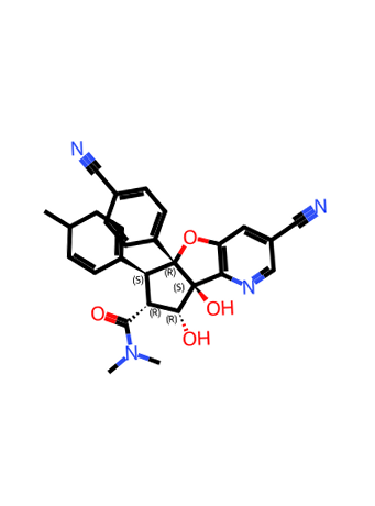 CC1C=CC([C@@H]2[C@@H](C(=O)N(C)C)[C@@H](O)[C@@]3(O)c4ncc(C#N)cc4O[C@@]23c2ccc(C#N)cc2)=CC1